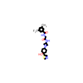 Cc1cc(C(=O)NCC(=O)NC2CN(C3CCC(O)(c4cncs4)CC3)C2)cc(C(F)(F)F)c1